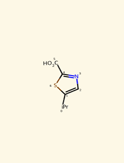 CC(C)c1cnc(C(=O)O)s1